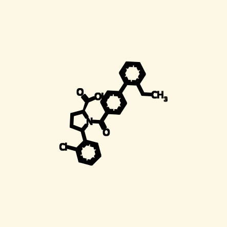 CCc1ccccc1-c1ccc(C(=O)N2C(c3ccccc3Cl)CC[C@H]2C(=O)O)cc1